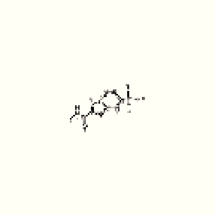 CNC(=O)c1cc2nc(C(F)(F)F)ccn2n1